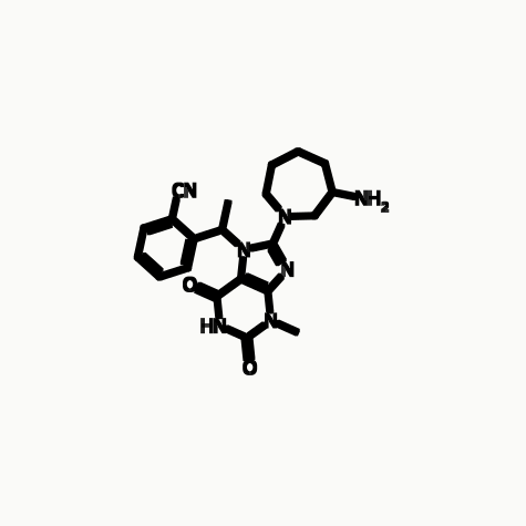 CC(c1ccccc1C#N)n1c(N2CCCCC(N)C2)nc2c1c(=O)[nH]c(=O)n2C